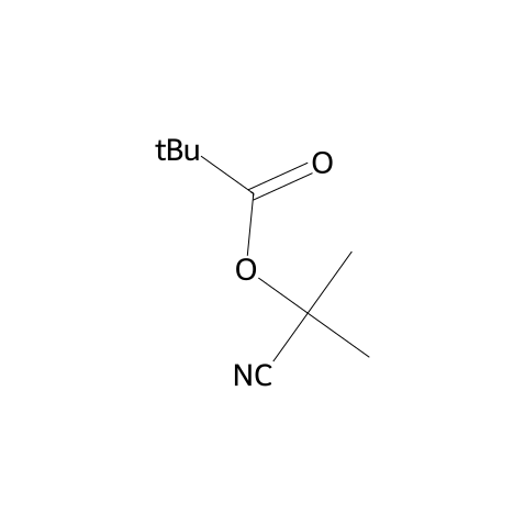 CC(C)(C#N)OC(=O)C(C)(C)C